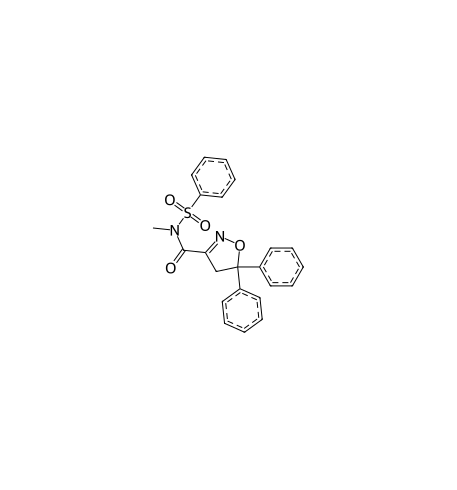 CN(C(=O)C1=NOC(c2ccccc2)(c2ccccc2)C1)S(=O)(=O)c1ccccc1